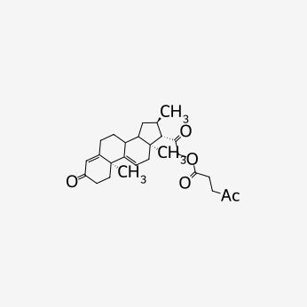 CC(=O)CCC(=O)OCC(=O)[C@H]1[C@H](C)CC2C3CCC4=CC(=O)CC[C@]4(C)C3=CC[C@@]21C